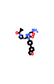 NC(=O)Cn1nc(C[C@@H]2CCN(C(=O)C3CC3)C2)n(-c2ccc(-c3ccc4occc4c3)cc2)c1=O